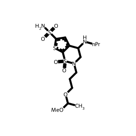 CCCNC1CN(CCCOC(C)OC)S(=O)(=O)c2sc(S(N)(=O)=O)cc21